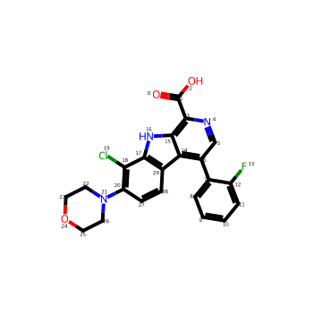 O=C(O)c1ncc(-c2ccccc2F)c2c1[nH]c1c(Cl)c(N3CCOCC3)ccc12